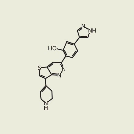 Oc1cc(-c2cn[nH]c2)ccc1-c1cc2scc(C3=CCNCC3)c2nn1